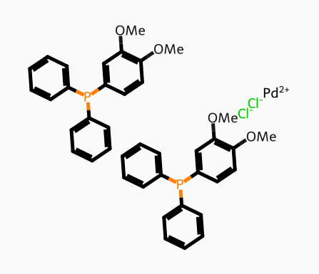 COc1ccc(P(c2ccccc2)c2ccccc2)cc1OC.COc1ccc(P(c2ccccc2)c2ccccc2)cc1OC.[Cl-].[Cl-].[Pd+2]